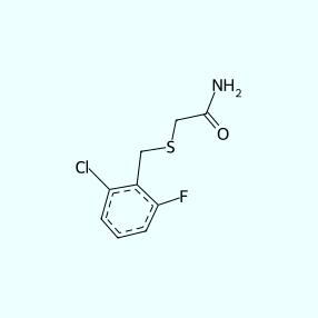 NC(=O)CSCc1c(F)cccc1Cl